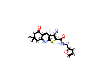 CC1(C)CC(=O)c2cc3c(N)c(C(=O)NCc4ccco4)sc3nc2C1